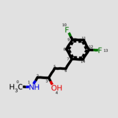 CNCC(O)CCc1cc(F)cc(F)c1